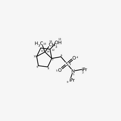 CC(C)N(C(C)C)S(=O)(=O)CC12CCC(CC1O)C2(C)C